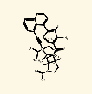 CC(C)[Si](C#Cc1cccc2cccc(-c3ncc(C(=S)N4C[C@@H]5[C@H]4CCN5C(=O)O)c(N)c3F)c12)(C(C)C)C(C)C